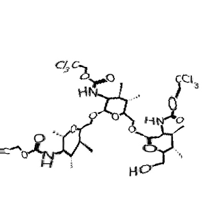 C[C@@H]1OC(CO[C@@H]2OC(CO[C@@H]3OC(CO)[C@@H](C)[C@H](C)C3NC(=O)OCC(Cl)(Cl)Cl)[C@@H](C)[C@H](C)C2NC(=O)OCC(Cl)(Cl)Cl)[C@@H](C)[C@H](C)C1NC(=O)OCC(Cl)(Cl)Cl